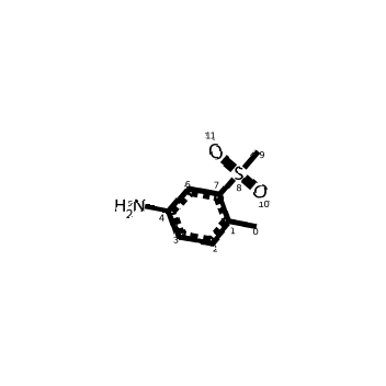 Cc1ccc(N)cc1S(C)(=O)=O